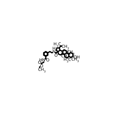 C=C(C)C1CCC2(C(=O)NCCc3cccc(C(=O)NCC(=O)OCC)c3)CC[C@]3(C)C(CCC4C5(C)CCC(O)C(C)(C)C5CCC43C)C12